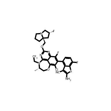 C[C@H]1COc2c(Cl)c(-c3ccc(F)c4sc(N)c(C#N)c34)c(F)c3nc(OC[C@@]45CCCN4C[C@H](F)C5)nc(c23)N1CC(F)(F)F